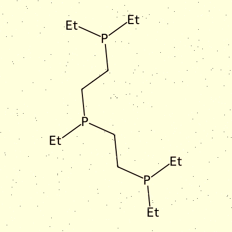 CCP(CC)CCP(CC)CCP(CC)CC